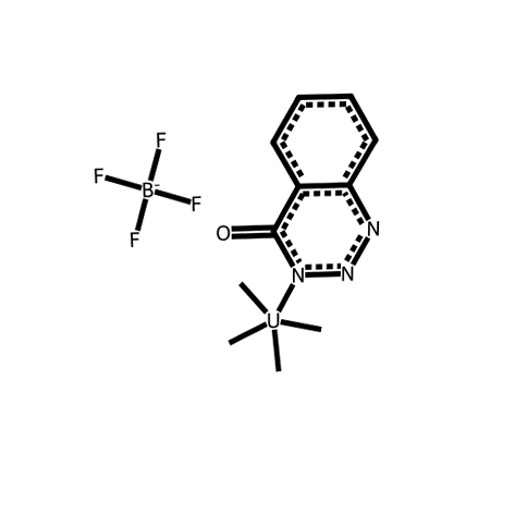 F[B-](F)(F)F.[CH3][U]([CH3])([CH3])([CH3])[n]1nnc2ccccc2c1=O